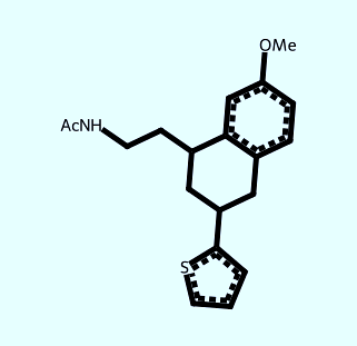 COc1ccc2c(c1)C(CCNC(C)=O)CC(c1cccs1)C2